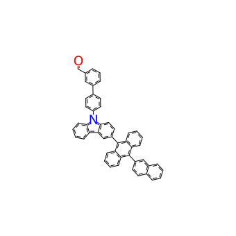 O=Cc1cccc(-c2ccc(-n3c4ccccc4c4cc(-c5c6ccccc6c(-c6ccc7ccccc7c6)c6ccccc56)ccc43)cc2)c1